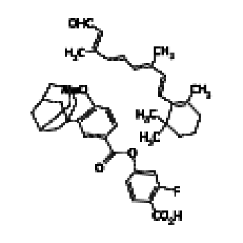 CC(C=CC=C(C)C=CC1=C(C)CCCC1(C)C)=CC=O.COc1ccc(C(=O)Oc2ccc(C(=O)O)c(F)c2)cc1C12CC3CC(CC(C3)C1)C2